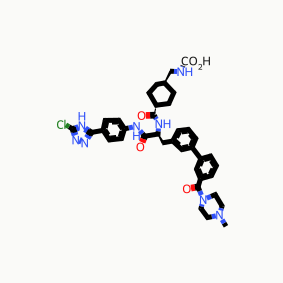 CN1CCN(C(=O)c2cccc(-c3cccc(C[C@H](NC(=O)[C@H]4CC[C@H](CNC(=O)O)CC4)C(=O)Nc4ccc(-c5nnc(Cl)[nH]5)cc4)c3)c2)CC1